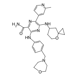 Cc1cc(-c2nc(C(N)=O)c(Nc3ccc(CN4CCOCC4)cc3)nc2NC2CCOC3(CC3)C2)ccn1